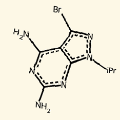 CC(C)n1nc(Br)c2c(N)nc(N)nc21